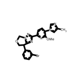 COc1nc(-c2nc3n(n2)COCC3c2cccc(Br)c2)ccc1-n1cnc(C)c1